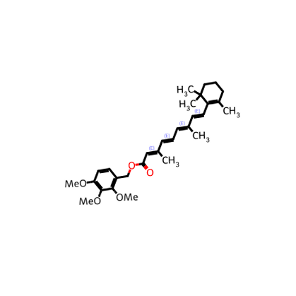 COc1ccc(COC(=O)/C=C(C)/C=C/C=C(C)/C=C/C2=C(C)CCCC2(C)C)c(OC)c1OC